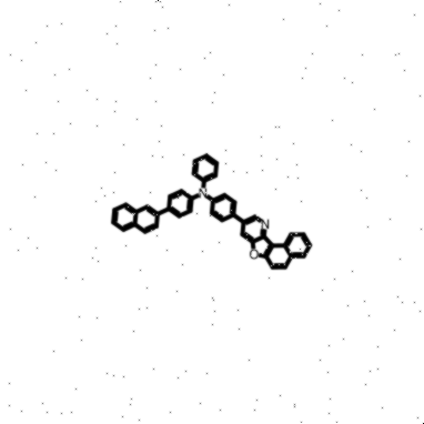 c1ccc(N(c2ccc(-c3ccc4ccccc4c3)cc2)c2ccc(-c3cnc4c(c3)oc3ccc5ccccc5c34)cc2)cc1